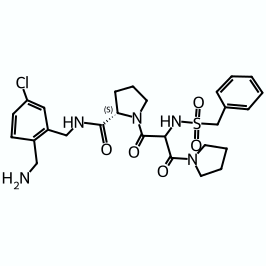 NCc1ccc(Cl)cc1CNC(=O)[C@@H]1CCCN1C(=O)C(NS(=O)(=O)Cc1ccccc1)C(=O)N1CCCC1